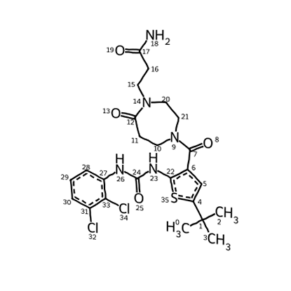 CC(C)(C)c1cc(C(=O)N2CCC(=O)N(CCC(N)=O)CC2)c(NC(=O)Nc2cccc(Cl)c2Cl)s1